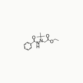 CCOC(=O)CN(NC(=O)c1ccccc1)C(C)(C)C